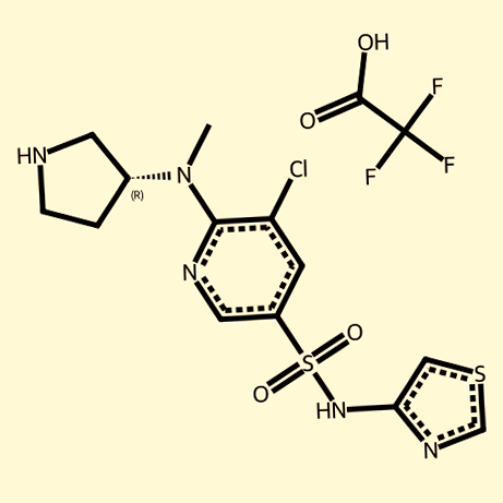 CN(c1ncc(S(=O)(=O)Nc2cscn2)cc1Cl)[C@@H]1CCNC1.O=C(O)C(F)(F)F